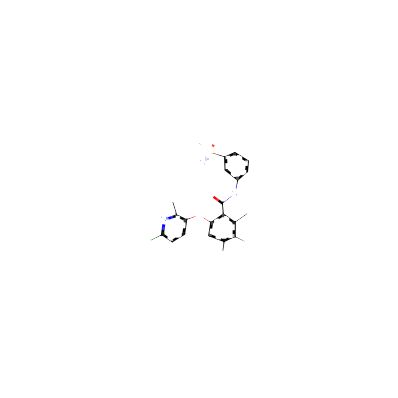 Cc1nc(F)ccc1Oc1cc(C(F)(F)F)c(Cl)c(C)c1C(=O)Nc1cccc([S@](C)(=N)=O)c1